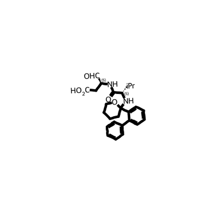 CC(C)[C@H](NC1(c2ccccc2-c2ccccc2)CCCCO1)C(=O)N[C@H](C=O)CC(=O)O